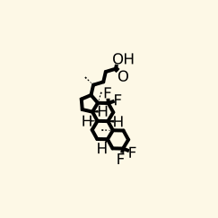 C[C@H](CCC(=O)O)C1CC[C@H]2[C@@H]3CC[C@@H]4CC(F)(F)CC[C@]4(C)[C@H]3CC(F)(F)[C@]12C